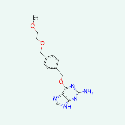 CCOCCOCc1ccc(COc2nc(N)nc3[nH]cnc23)cc1